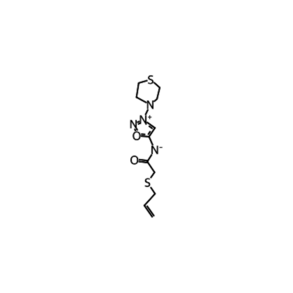 C=CCSCC(=O)[N-]c1c[n+](N2CCSCC2)no1